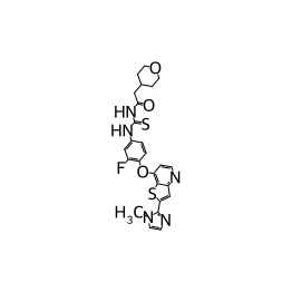 Cn1ccnc1-c1cc2nccc(Oc3ccc(NC(=S)NC(=O)CC4CCOCC4)cc3F)c2s1